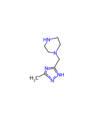 [CH2]c1n[nH]c(CN2CCNCC2)n1